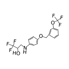 OC(CNc1ccc(OCc2cccc(OC(F)(F)F)c2)cc1)C(F)(F)F